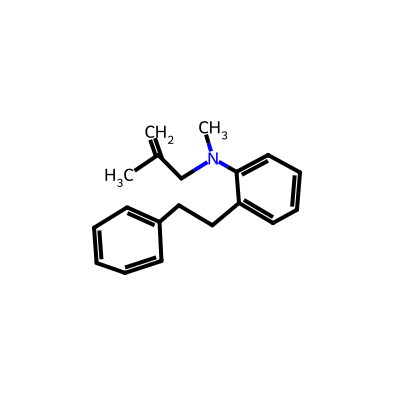 C=C(C)CN(C)c1ccccc1CCc1ccccc1